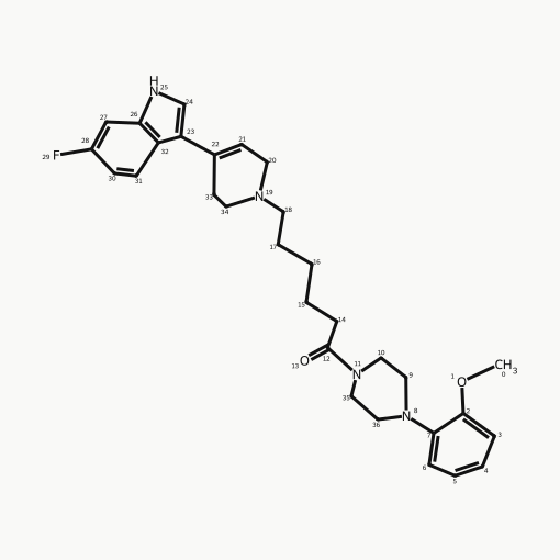 COc1ccccc1N1CCN(C(=O)CCCCCN2CC=C(c3c[nH]c4cc(F)ccc34)CC2)CC1